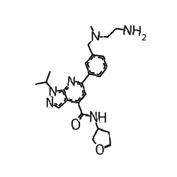 CC(C)n1ncc2c(C(=O)NC3CCOC3)cc(-c3cccc(CN(C)CCN)c3)nc21